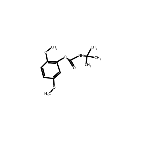 COc1ccc(OC)c(OC(=O)NC(C)(C)C)c1